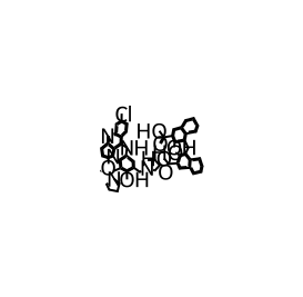 COc1ccc2nc3cc(Cl)ccc3c(Nc3cc(CN4CCCC4)c(O)c(CN4CCCC4)c3)c2n1.O=C(O)c1cc2ccccc2c(Cc2c(O)c(C(=O)O)cc3ccccc23)c1O